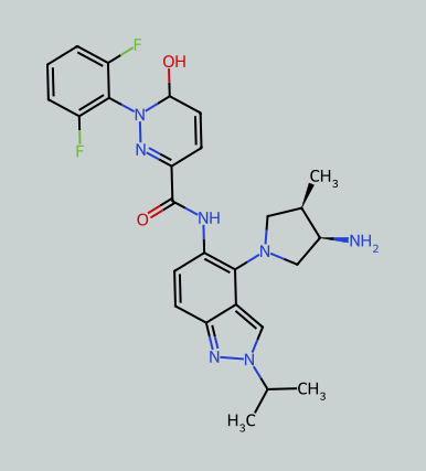 CC(C)n1cc2c(N3C[C@@H](C)[C@@H](N)C3)c(NC(=O)C3=NN(c4c(F)cccc4F)C(O)C=C3)ccc2n1